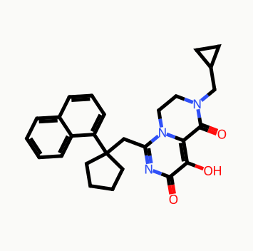 O=C1c2c(O)c(=O)nc(CC3(c4cccc5ccccc45)CCCC3)n2CCN1CC1CC1